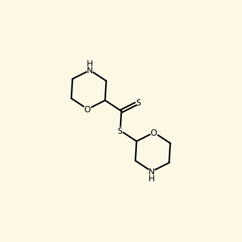 S=C(SC1CNCCO1)C1CNCCO1